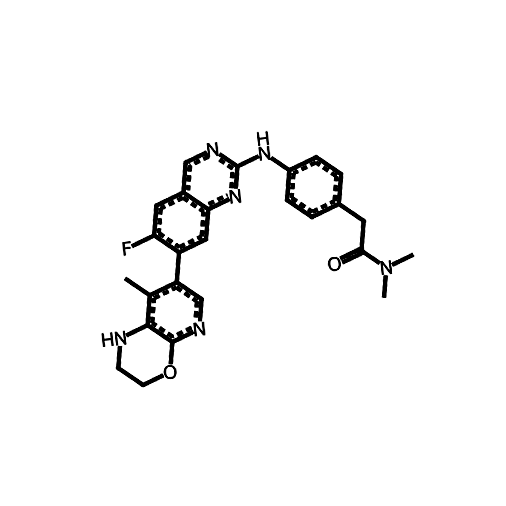 Cc1c(-c2cc3nc(Nc4ccc(CC(=O)N(C)C)cc4)ncc3cc2F)cnc2c1NCCO2